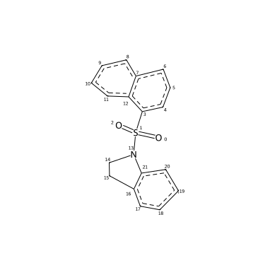 O=S(=O)(c1cccc2ccccc12)N1CCc2cc[c]cc21